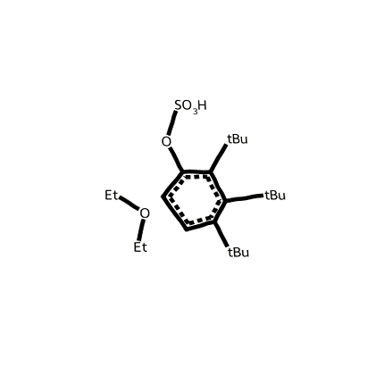 CC(C)(C)c1ccc(OS(=O)(=O)O)c(C(C)(C)C)c1C(C)(C)C.CCOCC